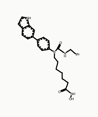 CC(C)CNC(=O)N(CCCCCCC(=O)NO)c1ccc(-c2ccc3cc[nH]c3c2)cc1